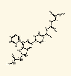 CCNC(=O)Nc1nc2cc(-c3cnc(C(C)OC(=O)CCC(=O)OC)nc3)cc(-c3ccccn3)c2s1